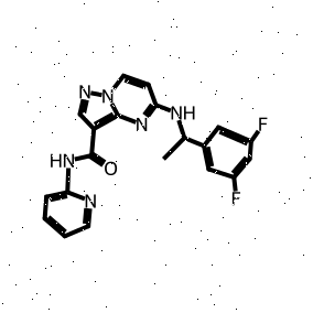 CC(Nc1ccn2ncc(C(=O)Nc3ccccn3)c2n1)c1cc(F)cc(F)c1